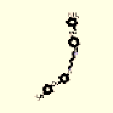 Nc1ccc(SSc2ccc(/N=C/CCC/C=N/c3ccc(SSc4ccc(N)cc4)cc3)cc2)cc1